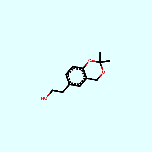 CC1(C)OCc2cc(CCO)ccc2O1